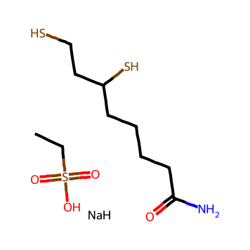 CCS(=O)(=O)O.NC(=O)CCCCC(S)CCS.[NaH]